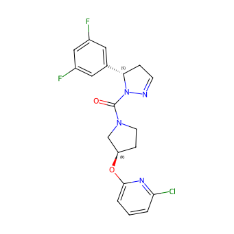 O=C(N1CC[C@@H](Oc2cccc(Cl)n2)C1)N1N=CC[C@H]1c1cc(F)cc(F)c1